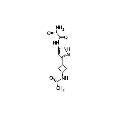 CC(=O)N[C@H]1C[C@@H](c2cc(NC(=O)C(N)=O)[nH]n2)C1